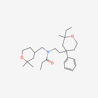 CCC(=O)N(CCC1(c2ccccc2)CCOC(C)(CC)C1)CC1CCOC(C)(C)C1